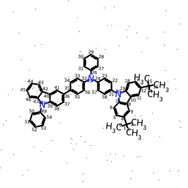 CC(C)(C)c1ccc2c(c1)c1cc(C(C)(C)C)ccc1n2-c1ccc(N(c2ccccc2)c2ccc(-c3ccc4c(c3)c3ccccc3n4-c3ccccc3)cc2)cc1